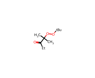 CCC(=O)C(C)(C)OOC(C)(C)C